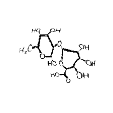 C[C@@H]1O[C@@H](O)[C@H](O[C@H]2O[C@H](C(=O)O)[C@H](O)[C@H](O)[C@H]2O)[C@H](O)[C@H]1O